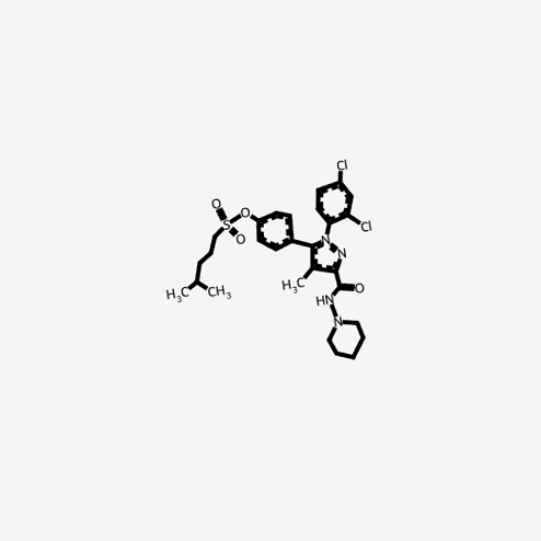 Cc1c(C(=O)NN2CCCCC2)nn(-c2ccc(Cl)cc2Cl)c1-c1ccc(OS(=O)(=O)CCCC(C)C)cc1